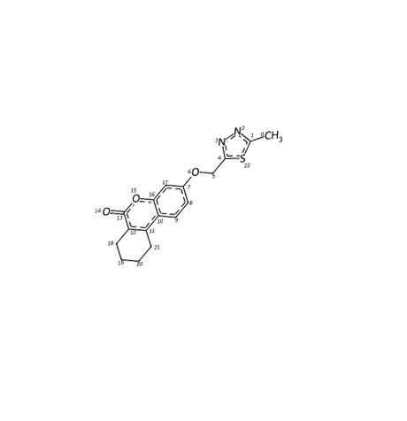 Cc1nnc(COc2ccc3c4c(c(=O)oc3c2)CCCC4)s1